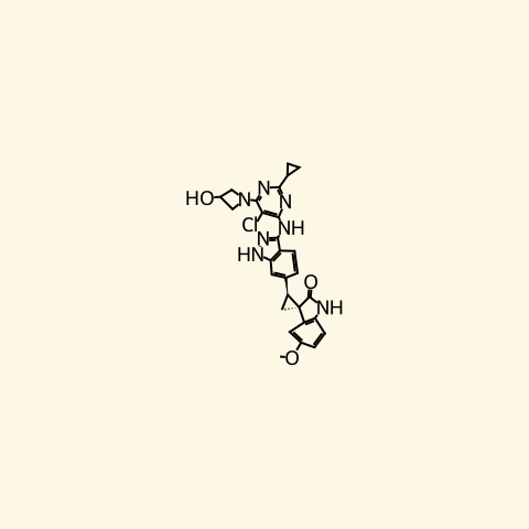 COc1ccc2c(c1)[C@]1(C[C@H]1c1ccc3c(Nc4nc(C5CC5)nc(N5CC(O)C5)c4Cl)n[nH]c3c1)C(=O)N2